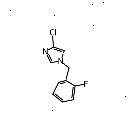 Fc1ccccc1Cn1cnc(Cl)c1